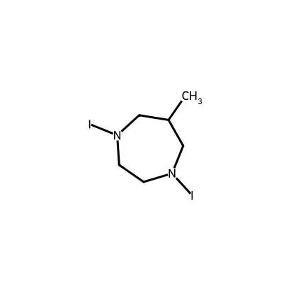 CC1CN(I)CCN(I)C1